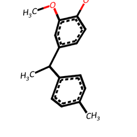 COc1ccc(C(C)c2ccc(C)cc2)cc1OC